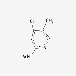 CC(=O)Nc1cc(Cl)c(C)cn1